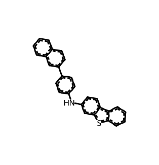 c1ccc2cc(-c3ccc(Nc4ccc5c(c4)sc4ccccc45)cc3)ccc2c1